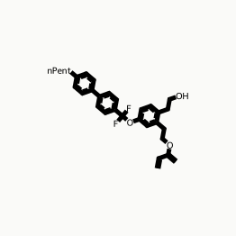 C=CC(=C)OCCc1cc(OC(F)(F)c2ccc(-c3ccc(CCCCC)cc3)cc2)ccc1CCO